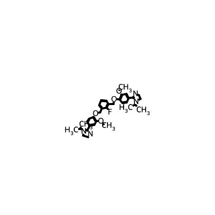 COc1cc(C2=NCCN2C(C)C)ccc1OCc1cccc(COc2ccc(C3=NCCN3C(C)C)cc2OC)c1F